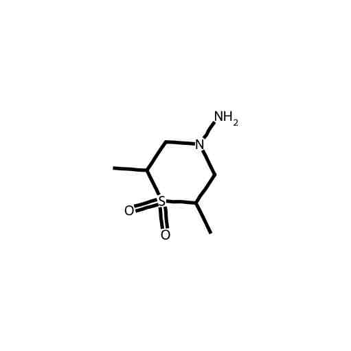 CC1CN(N)CC(C)S1(=O)=O